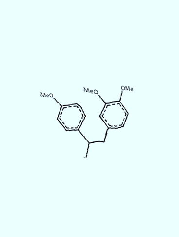 [CH2]C(Cc1ccc(OC)c(OC)c1)c1ccc(OC)cc1